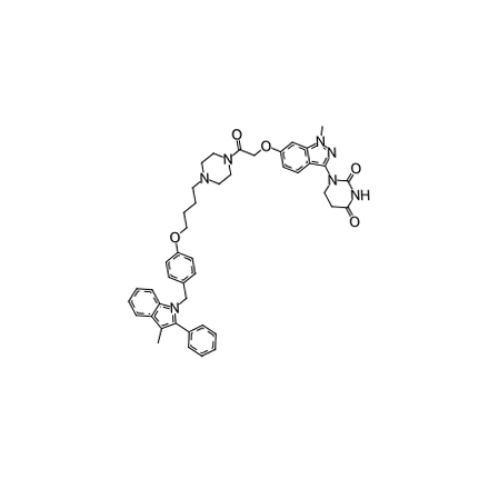 Cc1c(-c2ccccc2)n(Cc2ccc(OCCCCN3CCN(C(=O)COc4ccc5c(N6CCC(=O)NC6=O)nn(C)c5c4)CC3)cc2)c2ccccc12